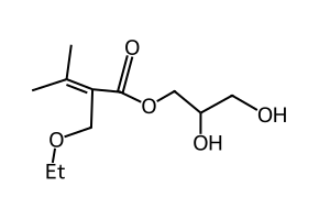 CCOCC(C(=O)OCC(O)CO)=C(C)C